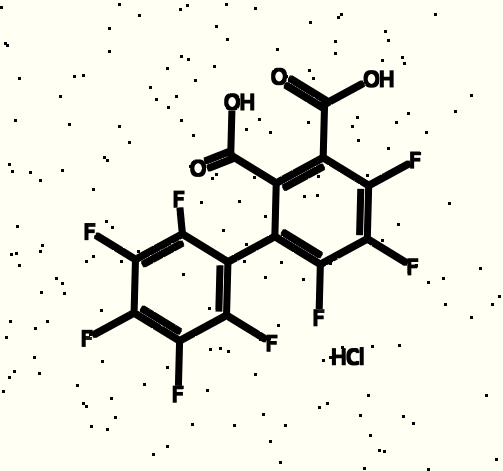 Cl.O=C(O)c1c(F)c(F)c(F)c(-c2c(F)c(F)c(F)c(F)c2F)c1C(=O)O